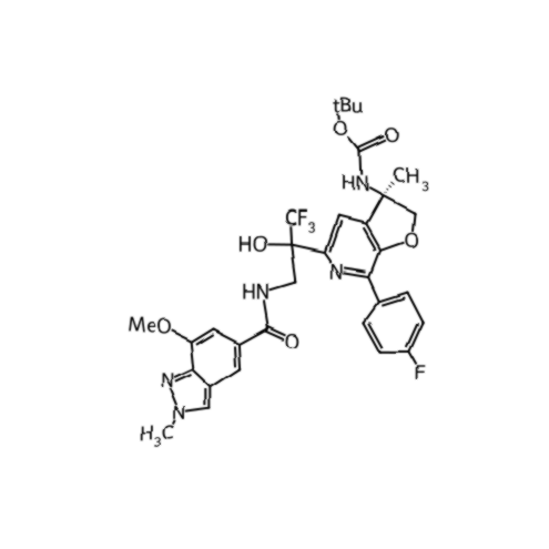 COc1cc(C(=O)NCC(O)(c2cc3c(c(-c4ccc(F)cc4)n2)OC[C@]3(C)NC(=O)OC(C)(C)C)C(F)(F)F)cc2cn(C)nc12